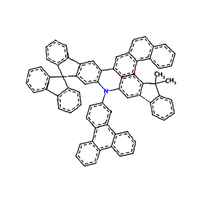 CC1(C)c2ccccc2-c2cc(N(c3ccc4c5ccccc5c5ccccc5c4c3)c3cc4c(cc3-c3ccc5c(ccc6ccccc65)c3)-c3ccccc3C43c4ccccc4-c4ccccc43)ccc21